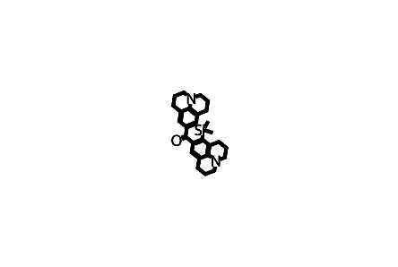 C[Si]1(C)c2c(cc3c4c2CCCN4CCC3)C(=O)c2cc3c4c(c21)CCCN4CCC3